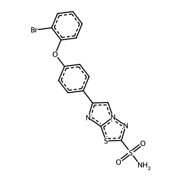 NS(=O)(=O)c1nn2cc(-c3ccc(Oc4ccccc4Br)cc3)nc2s1